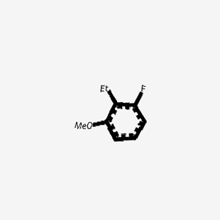 CCc1c(F)cccc1OC